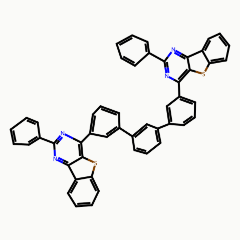 c1ccc(-c2nc(-c3cccc(-c4cccc(-c5cccc(-c6nc(-c7ccccc7)nc7c6sc6ccccc67)c5)c4)c3)c3sc4ccccc4c3n2)cc1